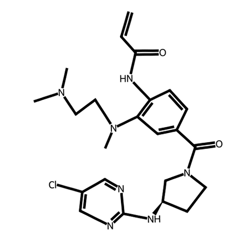 C=CC(=O)Nc1ccc(C(=O)N2CC[C@@H](Nc3ncc(Cl)cn3)C2)cc1N(C)CCN(C)C